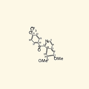 COc1cc2ccnc(C(=O)c3ccc(OC(F)(F)F)cc3)c2cc1OC